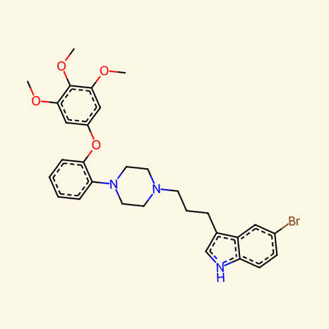 COc1cc(Oc2ccccc2N2CCN(CCCc3c[nH]c4ccc(Br)cc34)CC2)cc(OC)c1OC